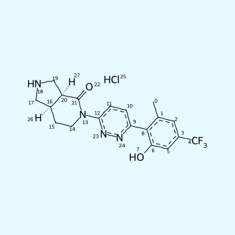 Cc1cc(C(F)(F)F)cc(O)c1-c1ccc(N2CC[C@H]3CNC[C@H]3C2=O)nn1.Cl